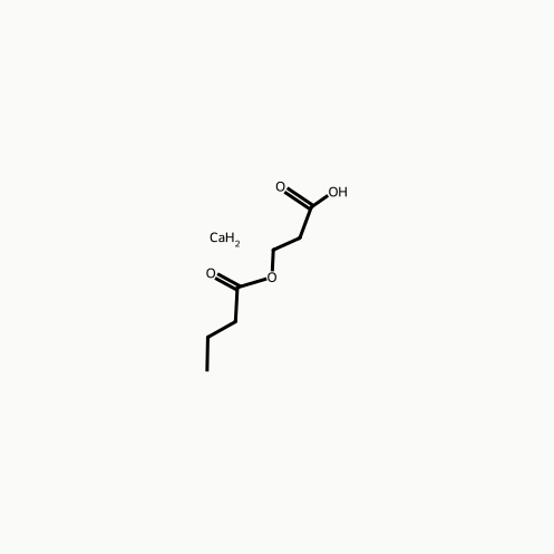 CCCC(=O)OCCC(=O)O.[CaH2]